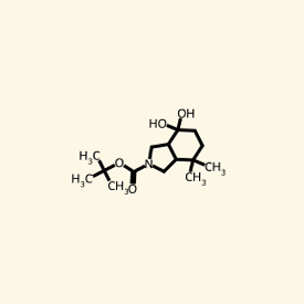 CC(C)(C)OC(=O)N1CC2C(C1)C(O)(O)CCC2(C)C